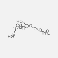 CCC(=O)NCCOCCOCCO[C@H]1CC[C@@]2(C)C(=C[C@@H](O)[C@H]3[C@@H]4CC[C@H]([C@H](C)CCCC(C)(C)O)[C@@]4(C)CC[C@@H]32)C1